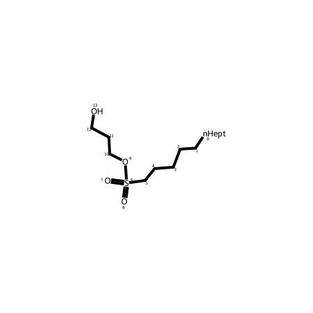 CCCCCCCCCCCCS(=O)(=O)OCCCO